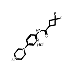 Cl.O=C(Nc1ccc(N2CCNCC2)cn1)C1CC(F)(F)C1